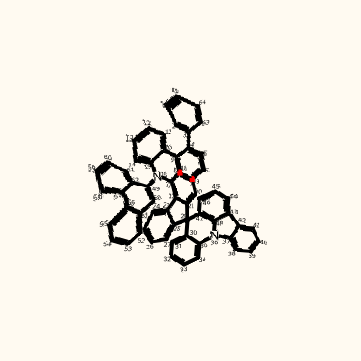 c1ccc(-c2ccccc2-c2ccccc2N(c2cccc3c2-c2ccccc2C32c3ccccc3-n3c4ccccc4c4cccc2c43)c2cc3ccccc3c3ccccc23)cc1